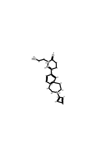 O=C1CCC(c2ccc3c(c2)CCN(C2=CC=C2)CC3)=NN1CCO